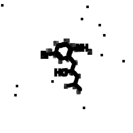 CC(C)CC(O)Cc1cc(Br)ccc1N